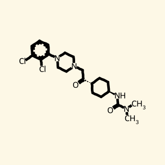 CN(C)C(=O)N[C@H]1CC[C@H](C(=O)CN2CCN(c3cccc(Cl)c3Cl)CC2)CC1